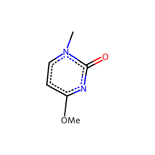 COc1ccn(C)c(=O)n1